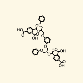 O=C(O)c1ccc(C(=O)OC(COc2ccccc2)COc2cccc(OCC(COc3ccccc3)OC(=O)c3ccc(C(=O)O)cc3C(=O)O)c2)c(C(=O)O)c1